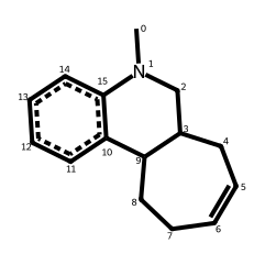 CN1CC2CC=CCCC2c2ccccc21